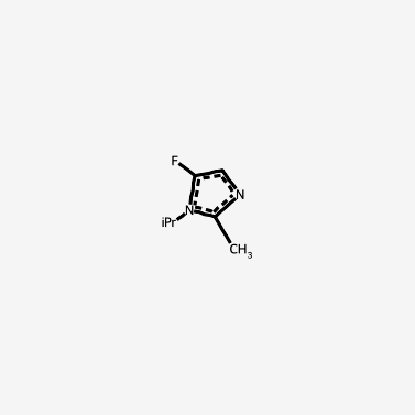 Cc1ncc(F)n1C(C)C